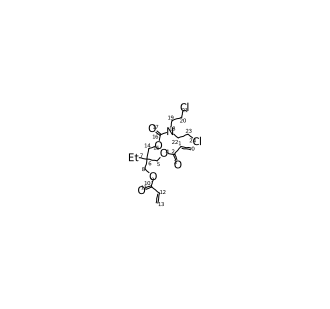 C=CC(=O)OCC(CC)(COC(=O)C=C)COC(=O)N(CCCl)CCCl